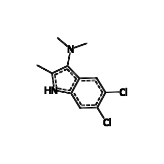 Cc1[nH]c2cc(Cl)c(Cl)cc2c1N(C)C